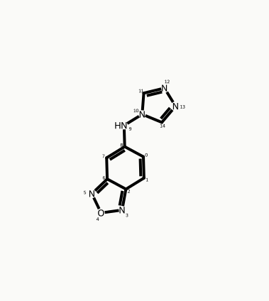 c1cc2nonc2cc1Nn1cnnc1